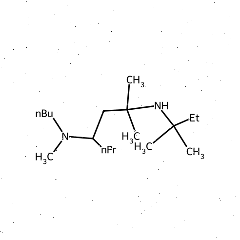 CCCCN(C)C(CCC)CC(C)(C)NC(C)(C)CC